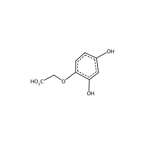 O=C(O)COc1ccc(O)cc1O